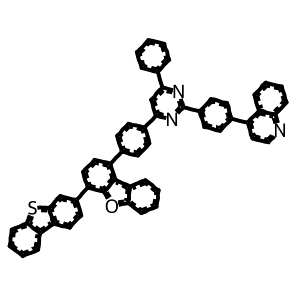 c1ccc(-c2cc(-c3ccc(-c4ccc(-c5ccc6c(c5)sc5ccccc56)c5oc6ccccc6c45)cc3)nc(-c3ccc(-c4ccnc5ccccc45)cc3)n2)cc1